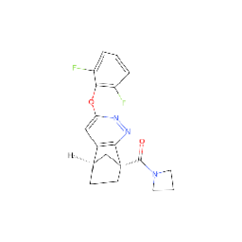 O=C(N1CCC1)[C@]12CC[C@H](C1)c1cc(Oc3c(F)cccc3F)nnc12